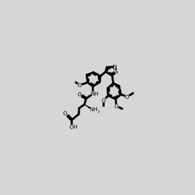 COc1ccc(-c2cnsc2-c2cc(OC)c(OC)c(OC)c2)cc1NC(=O)[C@@H](N)CCC(=O)O